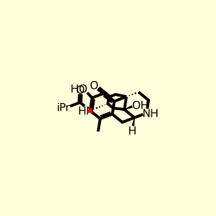 Cc1cc(O)cc2c1C[C@H]1NCC[C@@]23CC(=O)[C@@H](NC(=O)C(C)C)C[C@@]13O